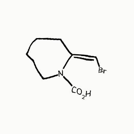 O=C(O)N1CCCC/C1=C/Br